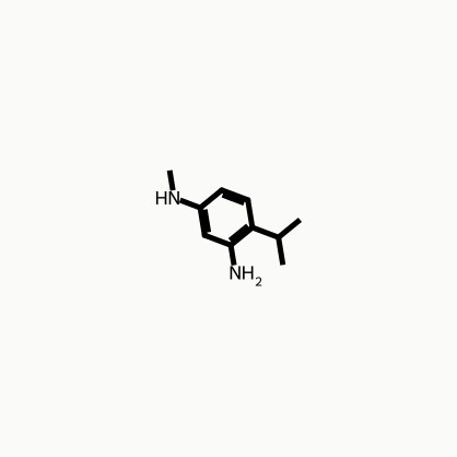 CNc1ccc(C(C)C)c(N)c1